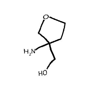 NC1(CO)CCOC1